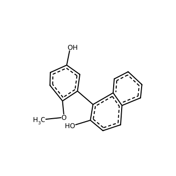 COc1ccc(O)cc1-c1c(O)ccc2ccccc12